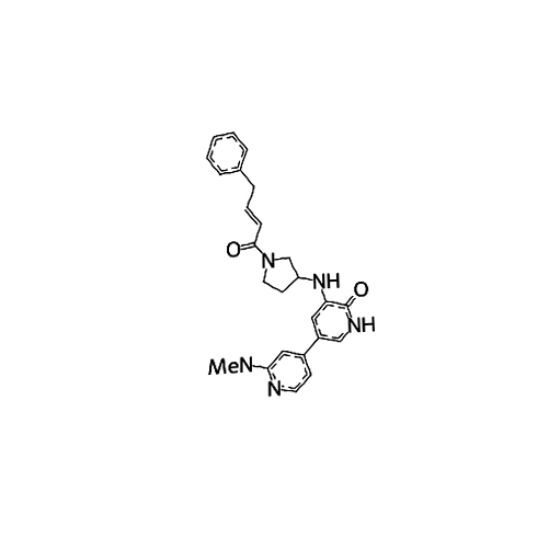 CNc1cc(-c2c[nH]c(=O)c(NC3CCN(C(=O)/C=C/Cc4ccccc4)C3)c2)ccn1